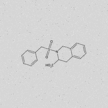 O=C(O)C1Cc2ccccc2CN1S(=O)(=O)Cc1ccccc1